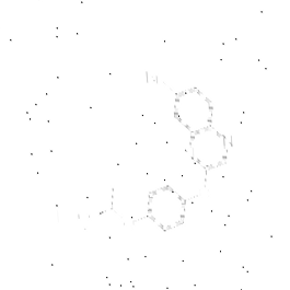 C[C@@H](Oc1ccc(Oc2cnc3ccc(Br)cc3n2)cc1)C(=O)O